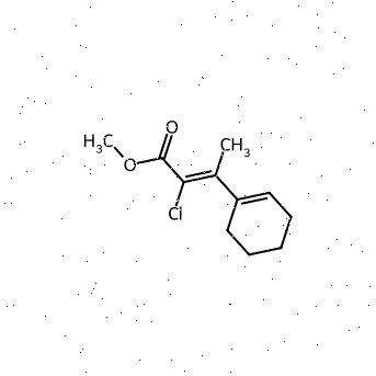 COC(=O)C(Cl)=C(C)C1=CCCCC1